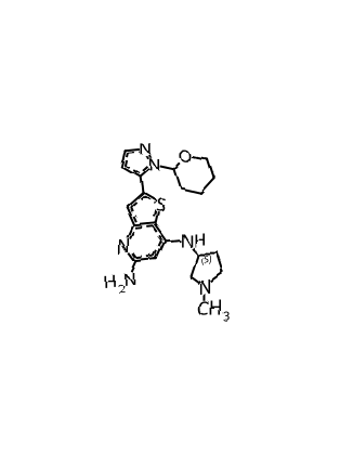 CN1CC[C@H](Nc2cc(N)nc3cc(-c4ccnn4C4CCCCO4)sc23)C1